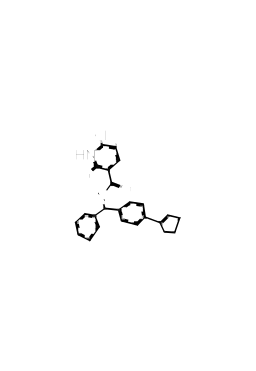 O=C(NC(c1ccccc1)c1ccc(C2=CCCC2)cc1)c1ccc(C(F)(F)F)[nH]c1=O